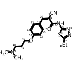 CCc1nnc(NC(=O)C(C#N)=Cc2ccc(OCCCN(C)C)cc2)s1